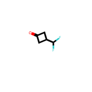 O=C1CC(C(F)F)C1